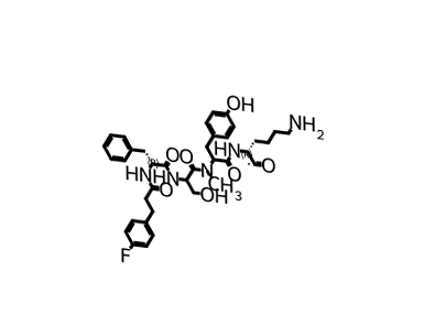 CN(C(=O)C(CO)NC(=O)[C@@H](Cc1ccccc1)NC(=O)CCc1ccc(F)cc1)C(Cc1ccc(O)cc1)C(=O)N[C@@H]([C]=O)CCCCN